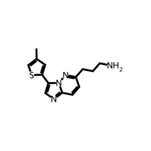 Cc1csc(-c2cnc3ccc(CCCN)nn23)c1